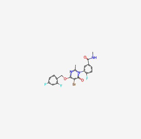 CNC(=O)c1ccc(F)c(-n2c(C)nc(OCc3ccc(F)cc3F)c(Br)c2=O)c1